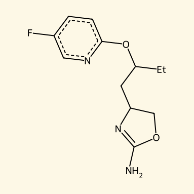 CCC(CC1COC(N)=N1)Oc1ccc(F)cn1